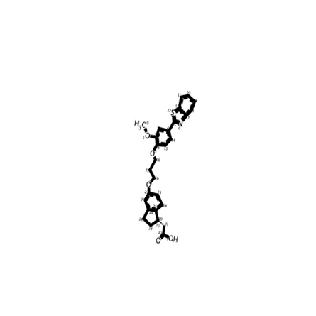 COc1cc(-c2nc3ccccc3s2)ccc1OCCCOc1ccc2c(c1)CC[C@H]2CC(=O)O